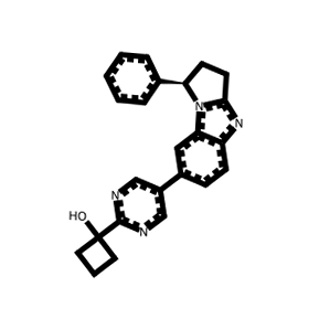 OC1(c2ncc(-c3ccc4nc5n(c4c3)[C@@H](c3ccccc3)CC5)cn2)CCC1